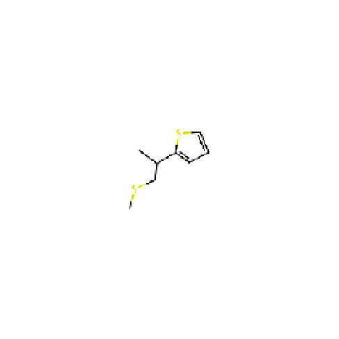 CSCC(C)c1cccs1